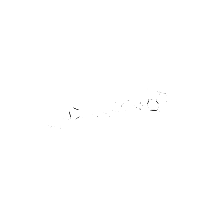 CCCN1CCOc2ncc(S(=O)(=O)N3CCC4(CC3)C[C@@H](NC[C@H](O)COc3cccc(S(=O)(=O)NC)c3)CO4)cc21